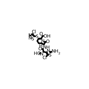 Nc1nc(/C(=N/O)C(=O)N[C@@H]2C(=O)N3C(C(=O)O)=C(Sc4snnc4Cl)CC[C@H]23)c(Cl)s1